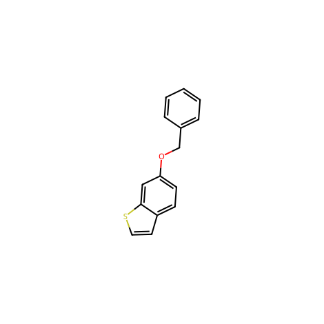 c1ccc(COc2ccc3ccsc3c2)cc1